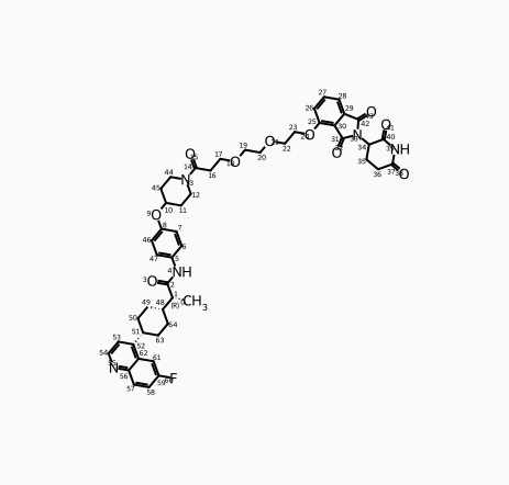 C[C@@H](C(=O)Nc1ccc(OC2CCN(C(=O)CCOCCOCCOc3cccc4c3C(=O)N(C3CCC(=O)NC3=O)C4=O)CC2)cc1)[C@H]1CC[C@@H](c2ccnc3ccc(F)cc32)CC1